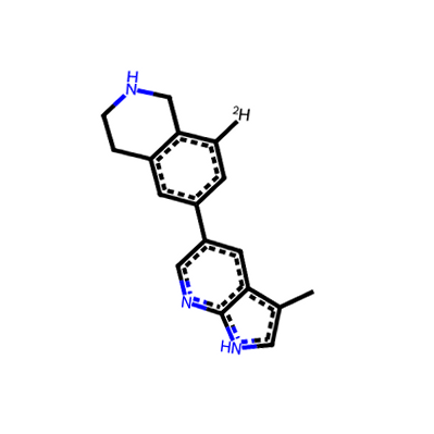 [2H]c1cc(-c2cnc3[nH]cc(C)c3c2)cc2c1CNCC2